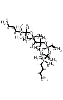 C=C[Si](C)(OC(C)(C)C(CC)[Si](C)(C)OC(CC)(CC)[Si](C)(C)CCCN)OC(C)(CC)[Si](C)(C)CCCN